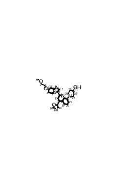 COCCOc1ccn2c(-c3cc(-c4cnco4)c4cccc(N5CCC(O)CC5)c4n3)cnc2c1